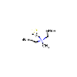 CCCCCCCCCC[N+](C)(C)CCCCCCCCCC.S